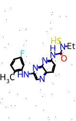 CCN(S)C(=O)Nc1ccc2ncc(Nc3cc(F)ccc3C)nc2n1